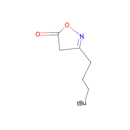 CC(C)(C)CCCC1=NOC(=O)C1